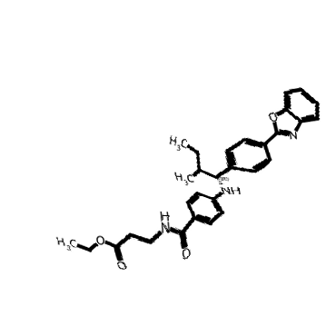 CCOC(=O)CCNC(=O)c1ccc(N[C@@H](c2ccc(-c3nc4ccccc4o3)cc2)C(C)CC)cc1